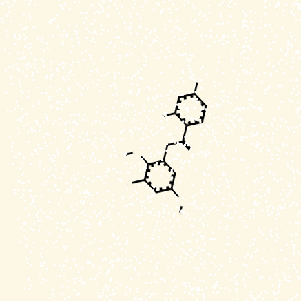 COc1cc(Br)c(OC)c(CC(=O)c2ccc(O)cc2O)c1